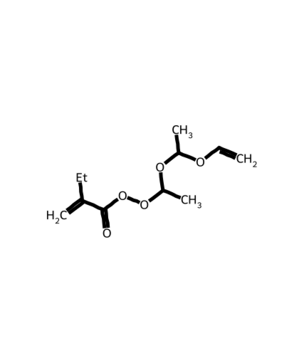 C=COC(C)OC(C)OOC(=O)C(=C)CC